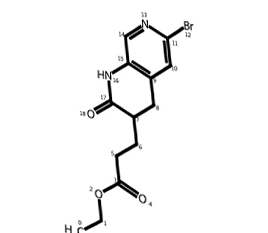 CCOC(=O)CCC1Cc2cc(Br)ncc2NC1=O